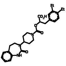 CCc1ccc(CC(OC(=O)N2CCC(N3CCc4ccccc4NC3=O)CC2)C(=O)O)cc1CC